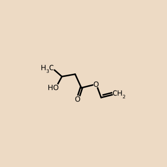 C=COC(=O)CC(C)O